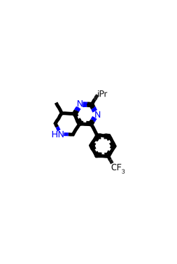 CC(C)c1nc(-c2ccc(C(F)(F)F)cc2)c2c(n1)C(C)CNC2